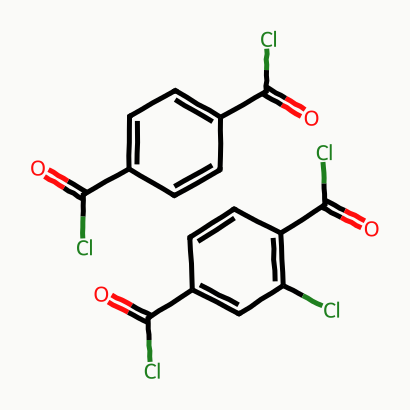 O=C(Cl)c1ccc(C(=O)Cl)c(Cl)c1.O=C(Cl)c1ccc(C(=O)Cl)cc1